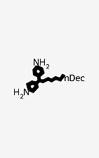 CCCCCCCCCCCCCCCCC(c1ccc(N)cc1)c1ccc(N)cc1